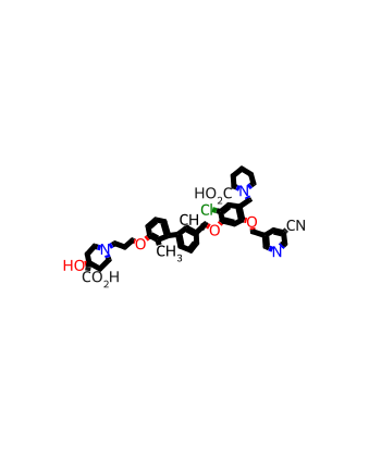 Cc1c(COc2cc(OCc3cncc(C#N)c3)c(CN3CCCC[C@H]3C(=O)O)cc2Cl)cccc1-c1cccc(OCCCN2CCC(O)(C(=O)O)CC2)c1C